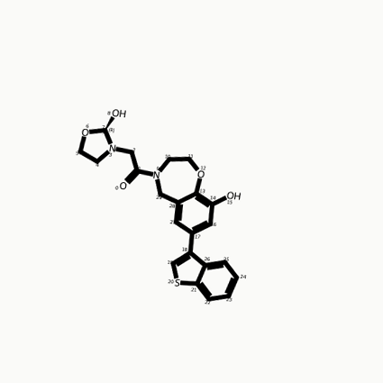 O=C(CN1CCO[C@H]1O)N1CCOc2c(O)cc(-c3csc4ccccc34)cc2C1